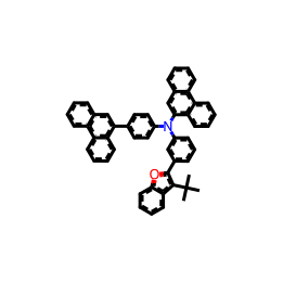 CC(C)(C)c1c(-c2cccc(N(c3ccc(-c4cc5ccccc5c5ccccc45)cc3)c3cc4ccccc4c4ccccc34)c2)oc2ccccc12